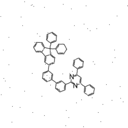 C1=CC(C2(c3ccccc3)c3ccccc3-c3cc(-c4cccc(-c5cccc(-c6nc(-c7ccccc7)cc(-c7ccccc7)n6)c5)c4)ccc32)=CCC1